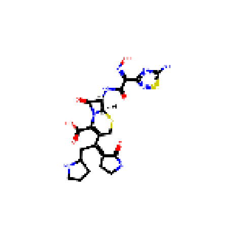 Nc1nc(C(=NO)C(=O)N[C@@H]2C(=O)N3C(C(=O)O)=C(C(CC4CCCN4)=C4CCNC4=O)CS[C@H]23)ns1